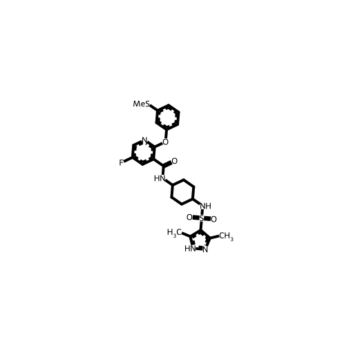 CSc1cccc(Oc2ncc(F)cc2C(=O)NC2CCC(NS(=O)(=O)c3c(C)n[nH]c3C)CC2)c1